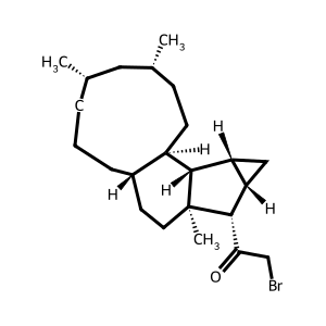 C[C@@H]1CC[C@@H]2[C@@H](CCC[C@H](C)C1)CC[C@@]1(C)[C@H]2[C@@H]2C[C@@H]2[C@@H]1C(=O)CBr